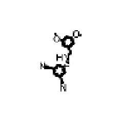 COc1cc(CNSc2cc(C#N)cc(C#N)c2)cc(OC)c1